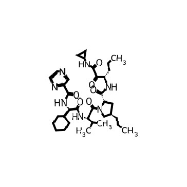 CCC[C@@H]1C[C@@H](C(=O)N[C@@H](CCC)C(=O)C(=O)NC2CC2)N(C(=O)[C@@H](NC(=O)[C@@H](NC(=O)c2cnccn2)C2CCCCC2)C(C)C)C1